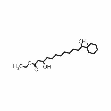 CCOC(=O)CC(O)CCCCCCCCC(C)C1CCCCC1